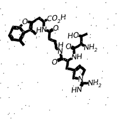 Cc1cccc2oc(CC(NC(=O)CCCNC(=O)C(CC3=CCN(C(=N)N)C3)NC(=O)C(N)C(C)O)C(=O)O)c(C)c12